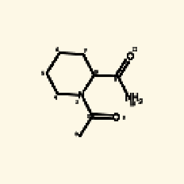 CC(=O)N1CCCCC1C(N)=O